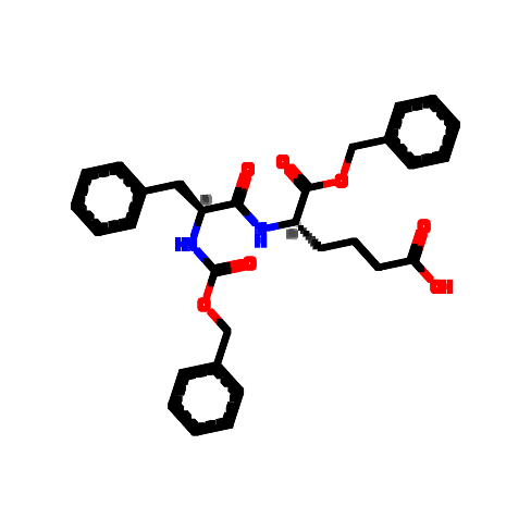 O=C(O)CCC[C@H](NC(=O)[C@H](Cc1ccccc1)NC(=O)OCc1ccccc1)C(=O)OCc1ccccc1